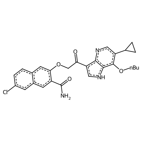 CCCCOc1c(C2CC2)cnc2c(C(=O)COc3cc4ccc(Cl)cc4cc3C(N)=O)c[nH]c12